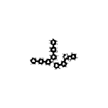 c1ccc(-c2ccc(-c3ccc4c(c3)c3cc(-c5ccc(-c6ccccc6)cc5)ccc3n4-c3cccc(-c4cccc(-c5ncnc6c5oc5ccccc56)c4)c3)cc2)cc1